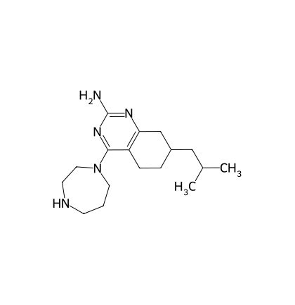 CC(C)CC1CCc2c(nc(N)nc2N2CCCNCC2)C1